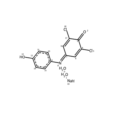 O.O.O=C1C(Cl)=CC(=Nc2ccc(O)cc2)C=C1Cl.[NaH]